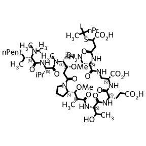 CCCCCC(C)[C@@H](C(=O)N[C@H](C(=O)N(C)[C@@H]([C@@H](C)CC)[C@@H](CC(=O)N1CCC[C@H]1C(OC)[C@@H](C)C(=O)N[C@H](C(=O)N[C@@H](CCC(=O)O)C(=O)N[C@@H](CNC(=O)[C@H](CN)NC(=O)CC(SC(C)(I)CCC)C(=O)O)C(=O)O)C(C)O)OC)C(C)C)N(C)C